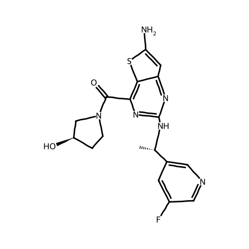 C[C@H](Nc1nc(C(=O)N2CC[C@@H](O)C2)c2sc(N)cc2n1)c1cncc(F)c1